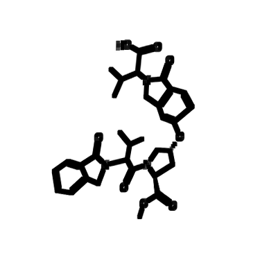 COC(=O)[C@@H]1C[C@@H](Oc2ccc3c(c2)CN(C(C(=O)O)C(C)C)C3=O)CN1C(=O)C(C(C)C)N1Cc2ccccc2C1=O